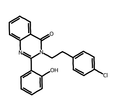 O=c1c2ccccc2nc(-c2ccccc2O)n1CCc1ccc(Cl)cc1